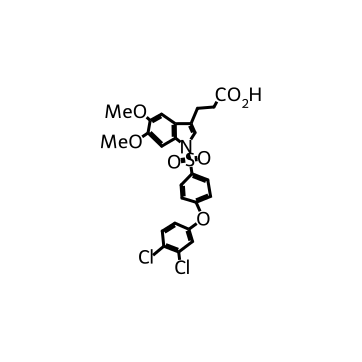 COc1cc2c(CCC(=O)O)cn(S(=O)(=O)c3ccc(Oc4ccc(Cl)c(Cl)c4)cc3)c2cc1OC